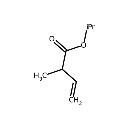 C=CC(C)C(=O)OC(C)C